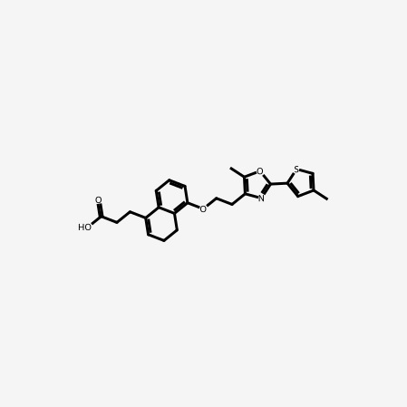 Cc1csc(-c2nc(CCOc3cccc4c3CCC=C4CCC(=O)O)c(C)o2)c1